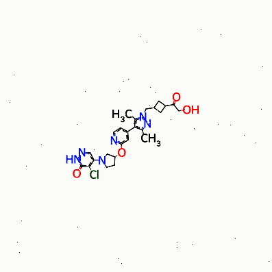 Cc1nn(CC2CC(C(=O)CO)C2)c(C)c1-c1ccnc(O[C@@H]2CCN(c3cn[nH]c(=O)c3Cl)C2)c1